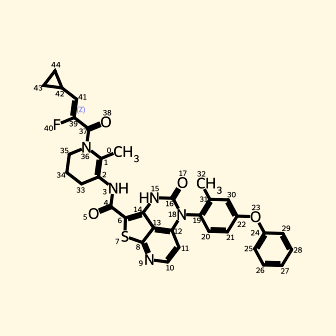 CC1=C(NC(=O)c2sc3nccc4c3c2NC(=O)N4c2ccc(Oc3ccccc3)cc2C)CCCN1C(=O)/C(F)=C/C1CC1